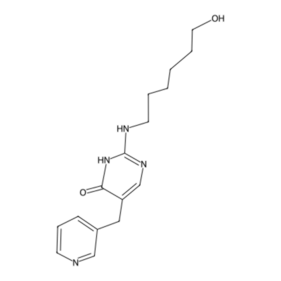 O=c1[nH]c(NCCCCCCO)ncc1Cc1cccnc1